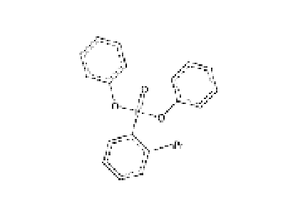 CCCc1ccccc1P(=O)(Oc1ccccc1)Oc1ccccc1